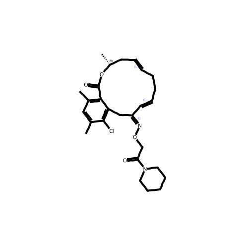 Cc1cc(C)c2c(c1Cl)CC(=N\OCC(=O)N1CCCCC1)/C=C/CC/C=C/C[C@@H](C)OC2=O